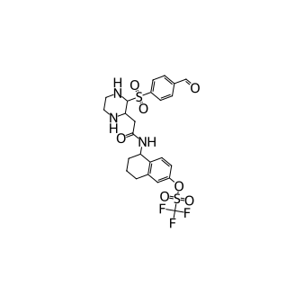 O=Cc1ccc(S(=O)(=O)C2NCCNC2CC(=O)NC2CCCc3cc(OS(=O)(=O)C(F)(F)F)ccc32)cc1